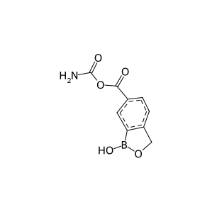 NC(=O)OC(=O)c1ccc2c(c1)B(O)OC2